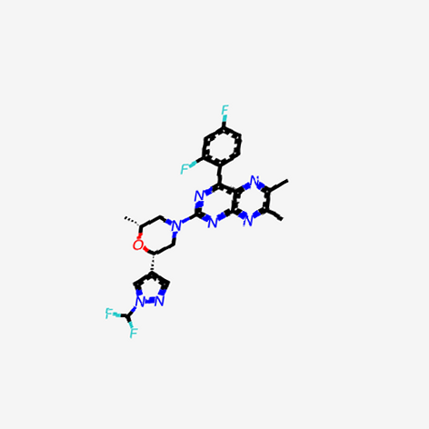 Cc1nc2nc(N3C[C@@H](C)O[C@@H](c4cnn(C(F)F)c4)C3)nc(-c3ccc(F)cc3F)c2nc1C